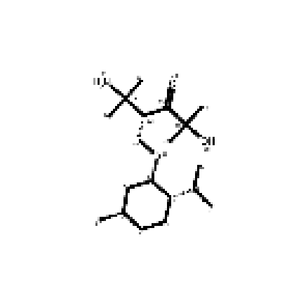 CC(C)[C@@H]1CC[C@@H](C)C[C@H]1OC[C@@H](C(=O)C(C)(C)O)C(C)(C)N